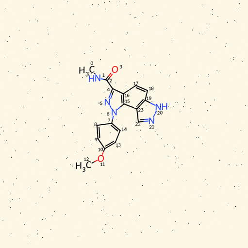 CNC(=O)c1nn(-c2ccc(OC)cc2)c2c1ccc1[nH]ncc12